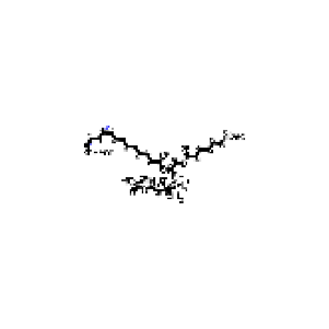 CCCCC/C=C\C/C=C\CCCCCCCC(=O)O[C@H](C)COC(=O)CCCCCCCCCCCCCCC.C[N+](C)(C)CCOP(=O)(O)O